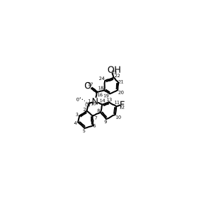 C[C@H]1c2ccccc2-c2ccc(F)cc2N1C(=O)c1cccc(O)c1